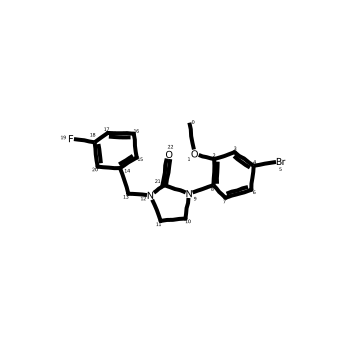 COc1cc(Br)ccc1N1CCN(Cc2cccc(F)c2)C1=O